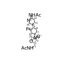 CC(=O)NCC1C[N@+]([O-])(c2ccc(-c3ccc(NC(C)=O)nc3)c(F)c2)CO1